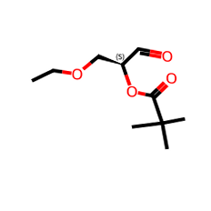 CCOC[C@@H](C=O)OC(=O)C(C)(C)C